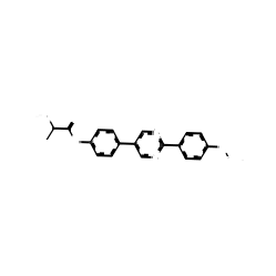 CCCCCCCCOc1ccc(-c2ncc(-c3ccc(OC(=O)C(C)CCCCCC)cc3)cn2)cc1